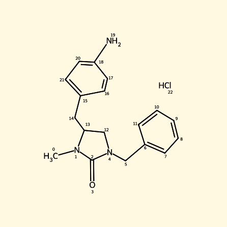 CN1C(=O)N(Cc2ccccc2)CC1Cc1ccc(N)cc1.Cl